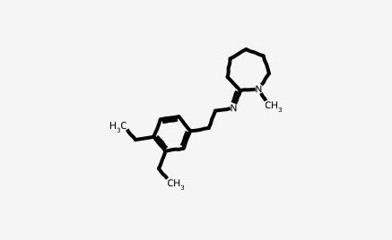 CCc1ccc(CCN=C2CCCCCN2C)cc1CC